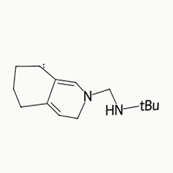 CC(C)(C)NCN1C=C2[C]CCCC2=CC1